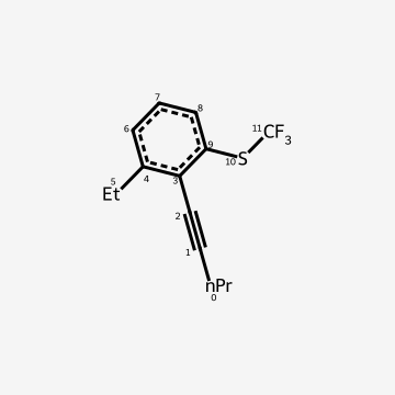 CCCC#Cc1c(CC)cccc1SC(F)(F)F